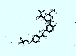 C[C@@H]1[C@@](C)(C(=O)N(C)C)SC(N)=N[C@]1(C)c1cc(NC(=O)c2cnc(OCC(F)(F)F)cn2)ccc1F